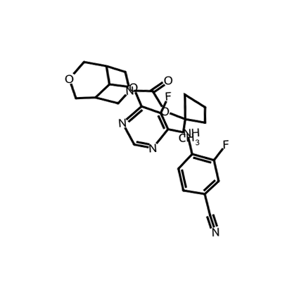 CC1(OC(=O)N2CC3COCC(C2)C3Oc2ncnc(Nc3ccc(C#N)cc3F)c2F)CCC1